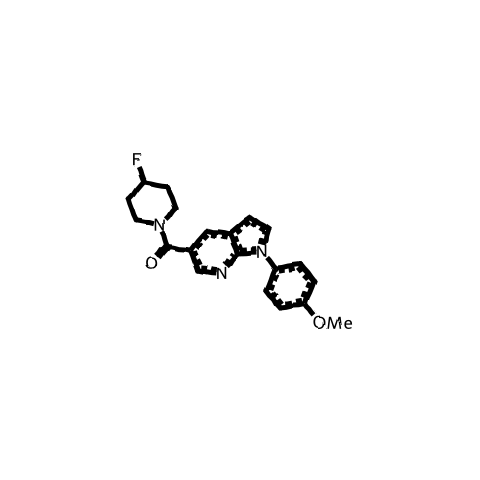 COc1ccc(-n2ccc3cc(C(=O)N4CCC(F)CC4)cnc32)cc1